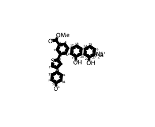 COC(=O)c1cccc(-c2cccs2)c1.Oc1ccccc1.Oc1ccccc1.S.[Na+].[O-]c1ccccc1